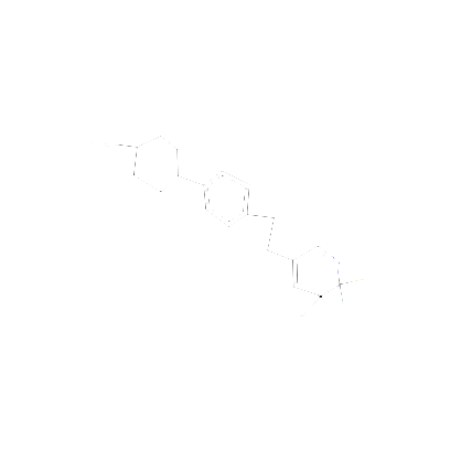 CCCCC1CCC(c2ccc(CCC3=CC(F)(Cl)C(F)(Cl)N=C3)cc2)CC1